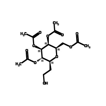 CC(=O)OC[C@H]1O[C@@H](CCO)[C@H](OC(C)=O)[C@@H](OC(C)=O)[C@H]1OC(C)=O